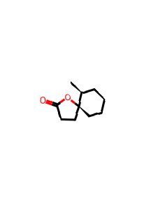 C[C@H]1CCCC[C@]12CCC(=O)O2